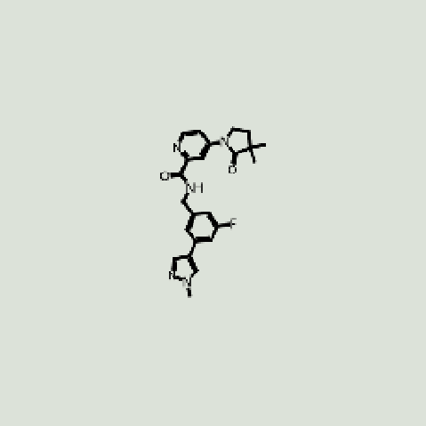 Cn1cc(-c2cc(F)cc(CNC(=O)c3cc(N4CCC(C)(C)C4=O)ccn3)c2)cn1